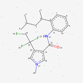 CC(C)CC(C)c1ccccc1NC(=O)c1cn(C)cc1C(F)(F)CF